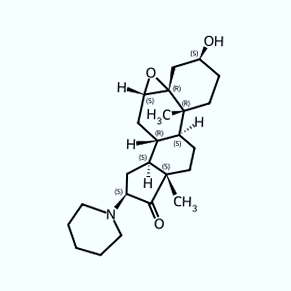 C[C@]12CC[C@H]3[C@@H](C[C@@H]4O[C@@]45C[C@@H](O)CC[C@]35C)[C@@H]1C[C@H](N1CCCCC1)C2=O